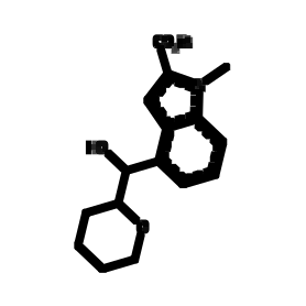 CCOC(=O)c1cc2c(C(O)C3CCCCO3)cccc2n1C